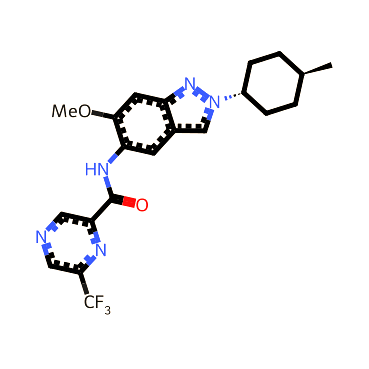 COc1cc2nn([C@H]3CC[C@H](C)CC3)cc2cc1NC(=O)c1cncc(C(F)(F)F)n1